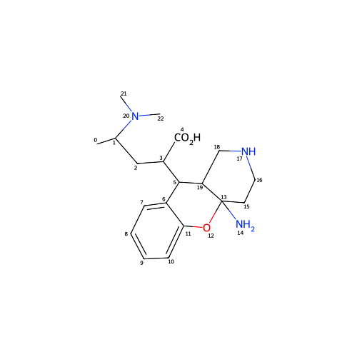 CC(CC(C(=O)O)C1c2ccccc2OC2(N)CCNCC12)N(C)C